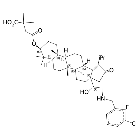 CC(C)C1=C2[C@H]3CC[C@@H]4[C@@]5(C)CC[C@H](OC(=O)CC(C)(C)C(=O)O)C(C)(C)[C@@H]5CC[C@@]4(C)[C@]3(C)CC[C@@]2([C@@H](O)CNCc2cccc(Cl)c2F)CC1=O